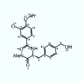 CNC(=O)[C@H](Cc1ccc(CO)cc1)NC(=O)c1ccc(OC(C)C)c(Cl)c1